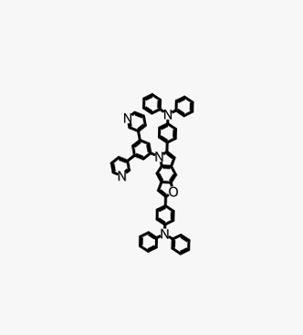 c1ccc(N(c2ccccc2)c2ccc(-c3cc4cc5c(cc(-c6ccc(N(c7ccccc7)c7ccccc7)cc6)n5-c5cc(-c6cccnc6)cc(-c6cccnc6)c5)cc4o3)cc2)cc1